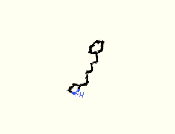 c1ccc(CCCCCC2CCN2)cc1